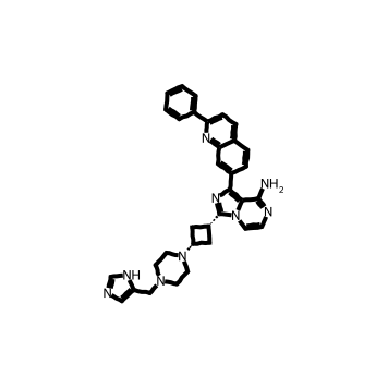 Nc1nccn2c1c(-c1ccc3ccc(-c4ccccc4)nc3c1)nc2[C@H]1C[C@@H](N2CCN(Cc3cnc[nH]3)CC2)C1